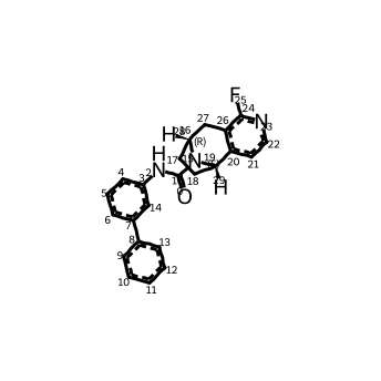 O=C(Nc1cccc(-c2ccccc2)c1)N1[C@@H]2CC[C@H]1c1ccnc(F)c1C2